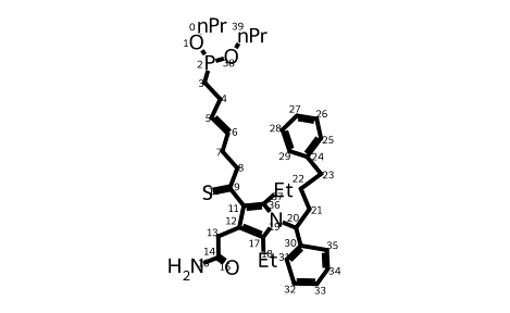 CCCOP(CCC=CCCC(=S)c1c(CC(N)=O)c(CC)n(C(CCCc2ccccc2)c2ccccc2)c1CC)OCCC